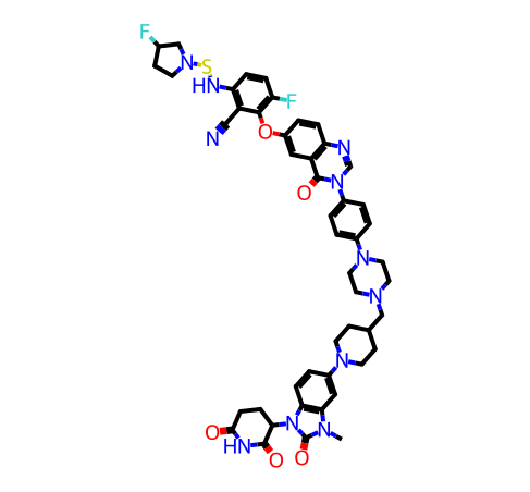 Cn1c(=O)n(C2CCC(=O)NC2=O)c2ccc(N3CCC(CN4CCN(c5ccc(-n6cnc7ccc(Oc8c(F)ccc(NSN9CCC(F)C9)c8C#N)cc7c6=O)cc5)CC4)CC3)cc21